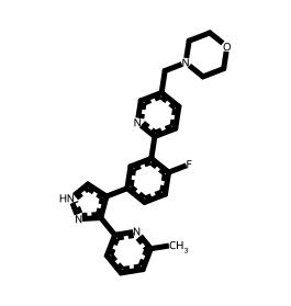 Cc1cccc(-c2n[nH]cc2-c2ccc(F)c(-c3ccc(CN4CCOCC4)cn3)c2)n1